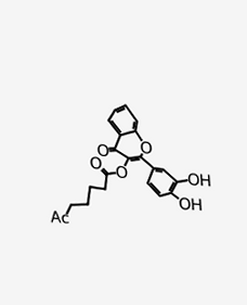 CC(=O)CCCCC(=O)Oc1c(-c2ccc(O)c(O)c2)oc2ccccc2c1=O